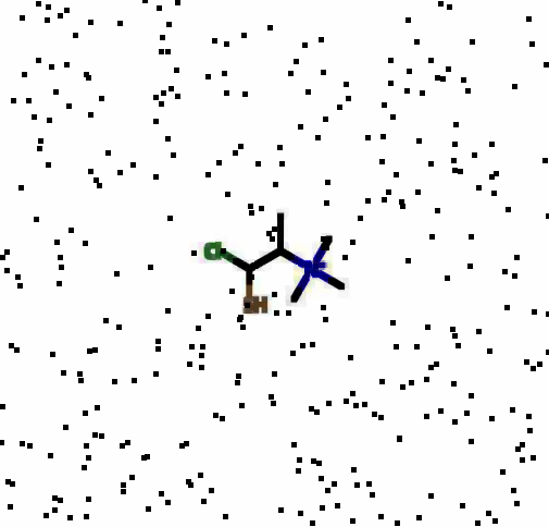 CC(C(S)Cl)[N+](C)(C)C